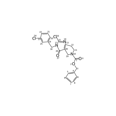 O=C(OCc1ccccc1)N1CCc2nc(Cl)n(Cc3cccc(Cl)c3)c(=O)c2C1